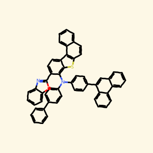 c1ccc(-c2ccc(N(c3ccc(-c4cc5ccccc5c5ccccc45)cc3)c3c(-c4nc5ccccc5o4)ccc4c3sc3ccc5ccccc5c34)cc2)cc1